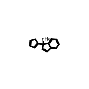 CCCCCCC1(C2=CC=CC2)C=Cc2ccccc21